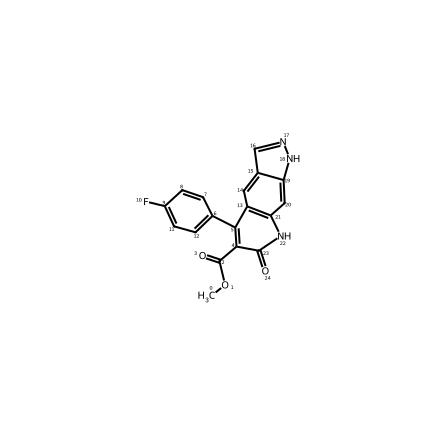 COC(=O)c1c(-c2ccc(F)cc2)c2cc3cn[nH]c3cc2[nH]c1=O